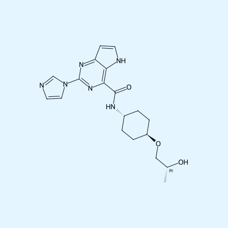 C[C@@H](O)CO[C@H]1CC[C@H](NC(=O)c2nc(-n3ccnc3)nc3cc[nH]c23)CC1